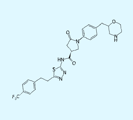 O=C(Nc1nnc(CCc2ccc(C(F)(F)F)cc2)s1)[C@H]1CC(=O)N(c2ccc(CC3CNCCO3)cc2)C1